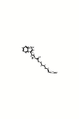 CCCCCCCCCCCCCCCCCC(=O)NCCc1c[nH]c2ccccc12